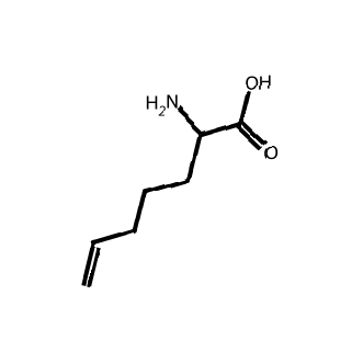 C=CCCCC(N)C(=O)O